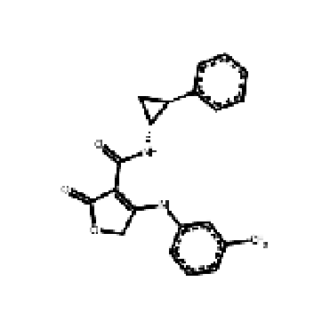 O=C(N[C@@H]1C[C@H]1c1ccccc1)C1=C(Nc2cccc(C(F)(F)F)c2)COC1=O